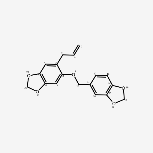 C=CCc1cc2c(cc1OCc1ccc3c(c1)OCO3)OCO2